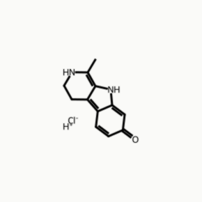 CC1=c2[nH]c3c(c2CCN1)C=CC(=O)C=3.[Cl-].[H+]